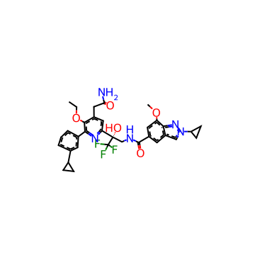 CCOc1c(CC(N)=O)cc([C@@](O)(CNC(=O)c2cc(OC)c3nn(C4CC4)cc3c2)C(F)(F)F)nc1-c1cccc(C2CC2)c1